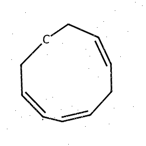 [C]1=C\CCC/C=C\C\C=C/1